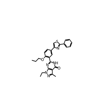 CCCOc1ccc(-c2csc(-c3ccccc3)n2)cc1-c1nc2c(c(C)nn2CC)c(=O)[nH]1